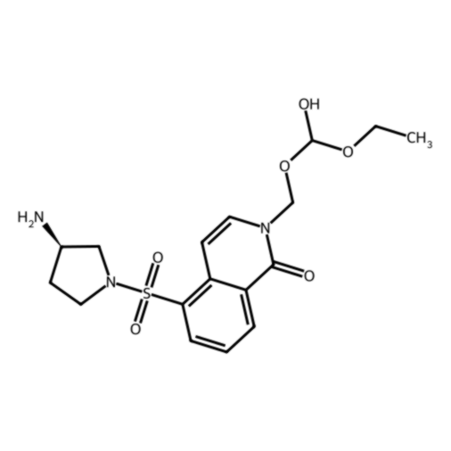 CCOC(O)OCn1ccc2c(S(=O)(=O)N3CC[C@@H](N)C3)cccc2c1=O